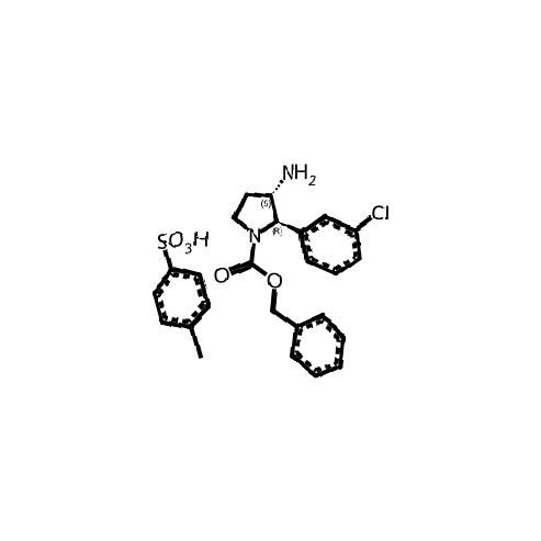 Cc1ccc(S(=O)(=O)O)cc1.N[C@H]1CCN(C(=O)OCc2ccccc2)[C@@H]1c1cccc(Cl)c1